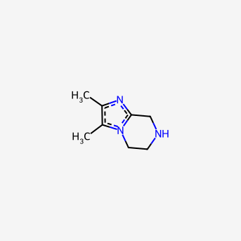 Cc1nc2n(c1C)CCNC2